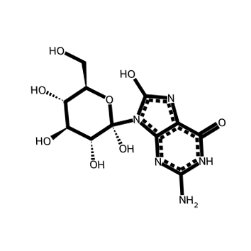 Nc1nc2c(nc(O)n2[C@]2(O)O[C@H](CO)[C@@H](O)[C@H](O)[C@H]2O)c(=O)[nH]1